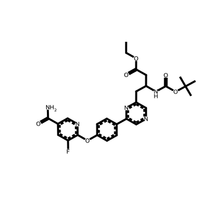 CCOC(=O)CC(Cc1cncc(-c2ccc(Oc3ncc(C(N)=O)cc3F)cc2)n1)NC(=O)OC(C)(C)C